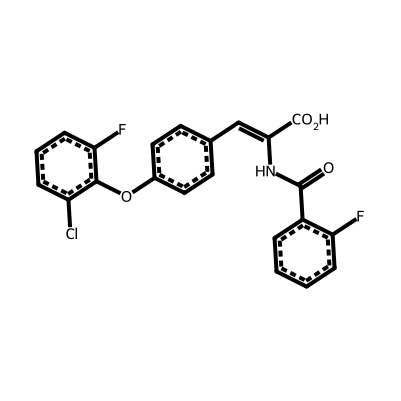 O=C(O)C(=Cc1ccc(Oc2c(F)cccc2Cl)cc1)NC(=O)c1ccccc1F